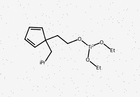 CC[O][Ti-2]([O]CC)[O]CCC1(CC(C)C)C=CC=C1